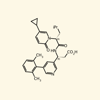 Cc1cccc(C)c1-c1cncc([C@@H](CC(=O)O)NC(=O)[C@@H](CC(C)C)n2cc(C3CC3)ccc2=O)c1